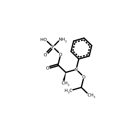 CC(C)ON(c1ccccc1)[C@@H](C)C(=O)OP(N)(=O)O